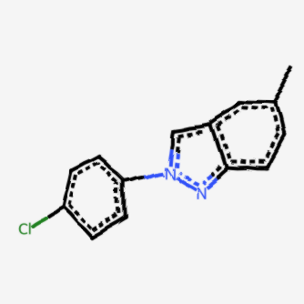 Cc1ccc2nn(-c3ccc(Cl)cc3)cc2c1